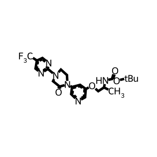 CC(COc1cncc(N2CCN(c3ncc(C(F)(F)F)cn3)CC2=O)c1)NC(=O)OC(C)(C)C